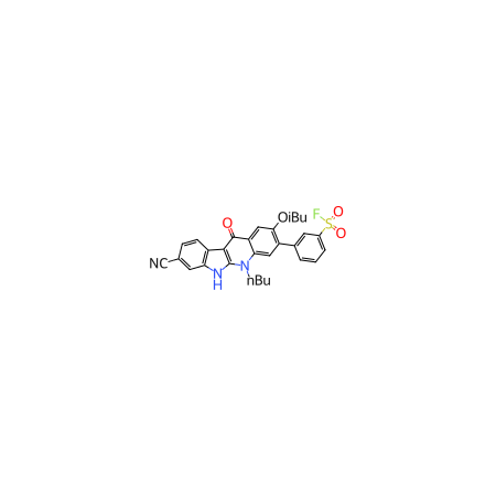 CCCCn1c2cc(-c3cccc(S(=O)(=O)F)c3)c(OCC(C)C)cc2c(=O)c2c3ccc(C#N)cc3[nH]c21